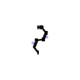 O/N=N\N=C/I